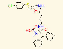 CN(C(=O)O)[C@H](C(=O)NCCCC1CNC[C@@H](CSc2ccc(Cl)cc2)O1)C(c1ccccc1)c1ccccc1